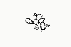 NC(=O)c1ccccc1N1c2cc3cc[nH]c3nc2OCC12CC2